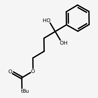 CC(C)(C)C(=O)OCCCC(O)(O)c1ccccc1